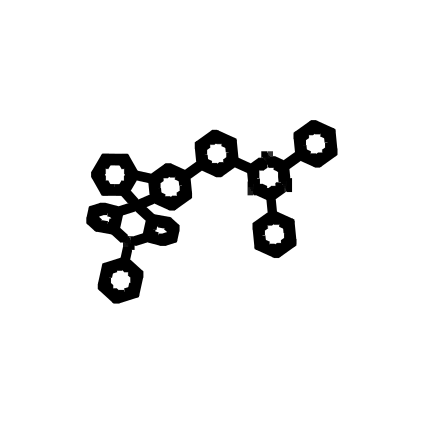 c1ccc(-c2nc(-c3ccccc3)nc(-c3cccc(-c4ccc5c(c4)-c4ccccc4C54c5ccccc5N(c5ccccc5)c5ccccc54)c3)n2)cc1